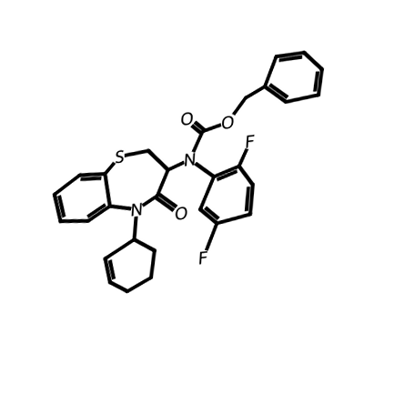 O=C1C(N(C(=O)OCc2ccccc2)c2cc(F)ccc2F)CSc2ccccc2N1C1C=CCCC1